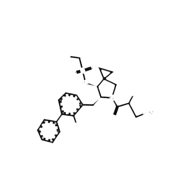 COCC(F)C(=O)N1CC2(CC2)[C@H](NS(=O)(=O)CF)[C@@H]1Cc1cccc(-c2ccccc2)c1F